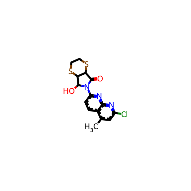 Cc1cc(Cl)nc2nc(N3C(=O)C4SCCSC4C3O)ccc12